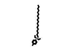 CCCCCCCCCCCCCCCCCC[N+](CC)(CC)c1ccc(C)cc1